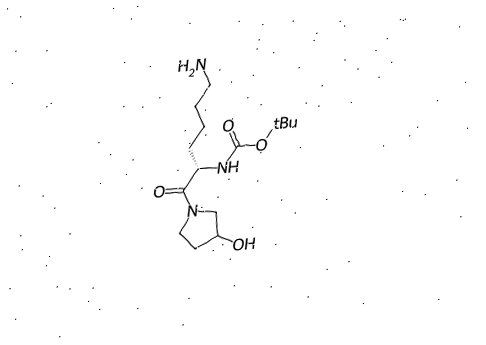 CC(C)(C)OC(=O)N[C@@H](CCCCN)C(=O)N1CCC(O)C1